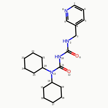 O=C(NCc1cccnc1)NC(=O)N(C1CCCCC1)C1CCCCC1